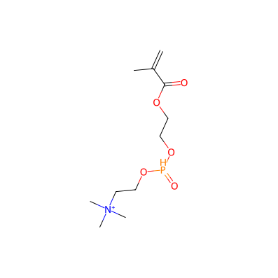 C=C(C)C(=O)OCCO[PH](=O)OCC[N+](C)(C)C